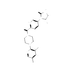 Cc1cnc(N2CCN(C(=O)c3ccc(N4C(=O)OC[C@H]4C)cn3)CC2)c(C)c1